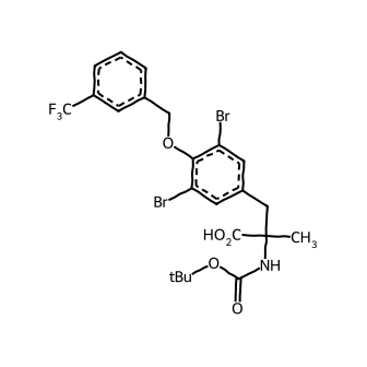 CC(C)(C)OC(=O)NC(C)(Cc1cc(Br)c(OCc2cccc(C(F)(F)F)c2)c(Br)c1)C(=O)O